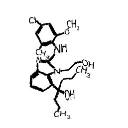 CCCC(O)(CCC)c1cccc2nc(Nc3c(C)cc(Cl)cc3OC)n(CCO)c12